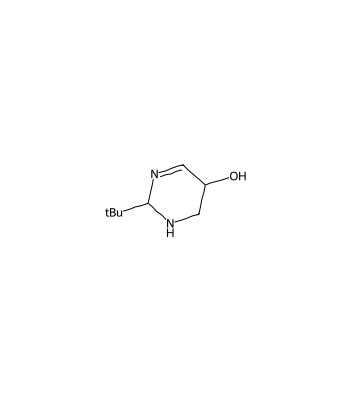 CC(C)(C)C1N=CC(O)CN1